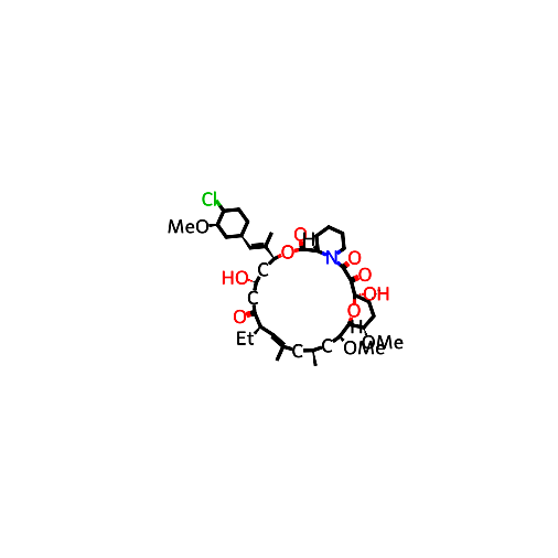 CC[C@@H]1/C=C(\C)C[C@H](C)C[C@H](OC)[C@H]2O[C@@](O)(C(=O)C(=O)N3CCCC[C@H]3C(=O)O[C@H](/C(C)=C/[C@@H]3CCC(Cl)[C@H](OC)C3)C[C@@H](O)CC1=O)[C@H](C)C[C@@H]2OC